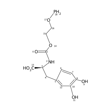 O=C(N[C@@H](Cc1ccc(O)c(O)c1)C(=O)O)OCCOP